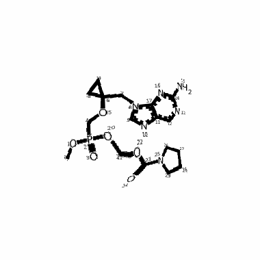 [CH2]OP(=O)(COC1(Cn2cnc3cnc(N)nc32)CC1)OCOC(=O)N1CCCC1